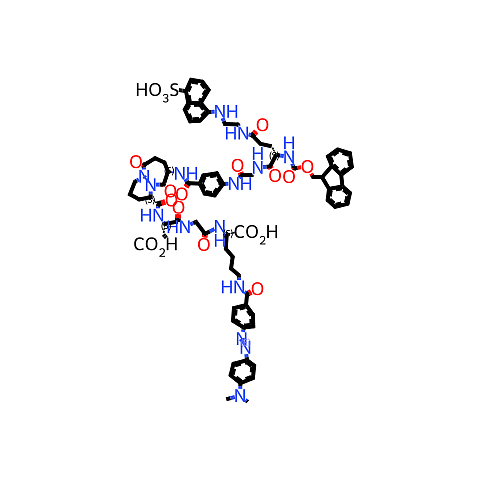 CN(C)c1ccc(/N=N/c2ccc(C(=O)NCCCC[C@H](NC(=O)CNC(=O)[C@H](CC(=O)O)NC(=O)[C@@H]3CCCN4C(=O)CC[C@H](NC(=O)c5ccc(NC(=O)CNC(=O)[C@H](CCC(=O)NCCNc6cccc7c(S(=O)(=O)O)cccc67)NC(=O)OCC6c7ccccc7-c7ccccc76)cc5)C(=O)N34)C(=O)O)cc2)cc1